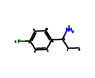 CCC(N)c1ccc(F)cc1